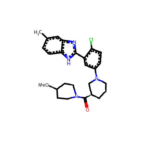 COC1CCN(C(=O)[C@@H]2CCCN(c3ccc(Cl)c(-c4nc5cc(C)ccc5[nH]4)c3)C2)CC1